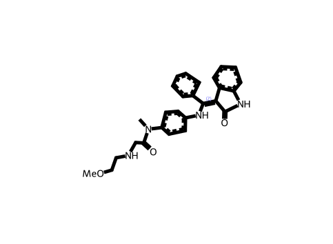 COCCNCC(=O)N(C)c1ccc(N/C(=C2\C(=O)Nc3ccccc32)c2ccccc2)cc1